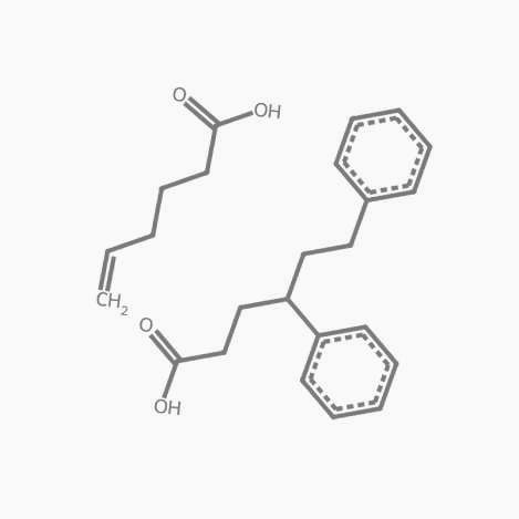 C=CCCCC(=O)O.O=C(O)CCC(CCc1ccccc1)c1ccccc1